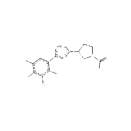 Cc1c(F)cc(-c2noc(C3CCN(C(=O)O)C3)n2)c(F)c1N